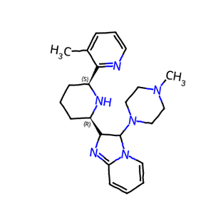 Cc1cccnc1[C@@H]1CCC[C@H](C2N=C3C=CC=CN3C2N2CCN(C)CC2)N1